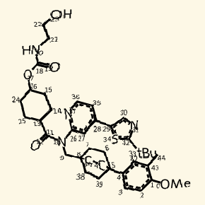 COc1ccc(C23CCC(CN(C(=O)C4CCC(OC(=O)NCCO)CC4)c4cc(-c5cnc(C(C)(C)C)s5)ccn4)(CC2)CC3)cc1C